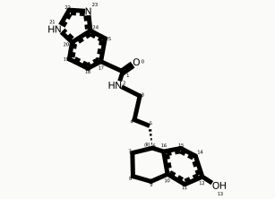 O=C(NCCC[C@H]1CCCc2cc(O)ccc21)c1ccc2[nH]cnc2c1